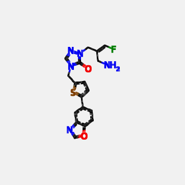 NC/C(=C\F)Cn1ncn(Cc2ccc(-c3ccc4ocnc4c3)s2)c1=O